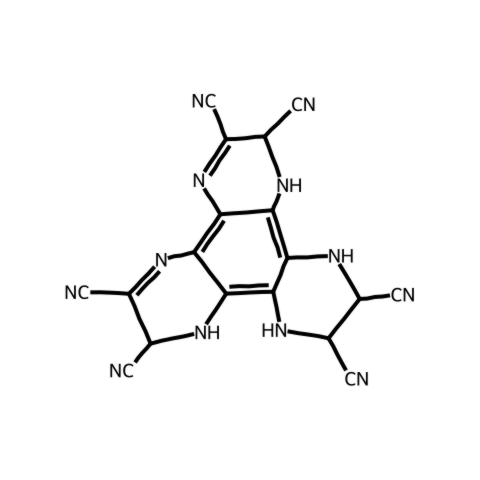 N#CC1=Nc2c3c(c4c(c2NC1C#N)NC(C#N)C(C#N)N4)NC(C#N)C(C#N)=N3